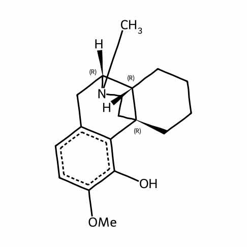 COc1ccc2c(c1O)[C@@]13CCCC[C@H]1[C@@H](C2)N(C)CC3